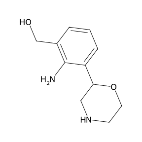 Nc1c(CO)cccc1C1CNCCO1